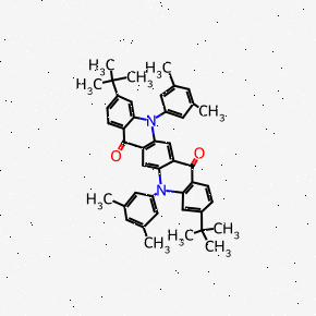 Cc1cc(C)cc(-n2c3cc(C(C)(C)C)ccc3c(=O)c3cc4c(cc32)c(=O)c2ccc(C(C)(C)C)cc2n4-c2cc(C)cc(C)c2)c1